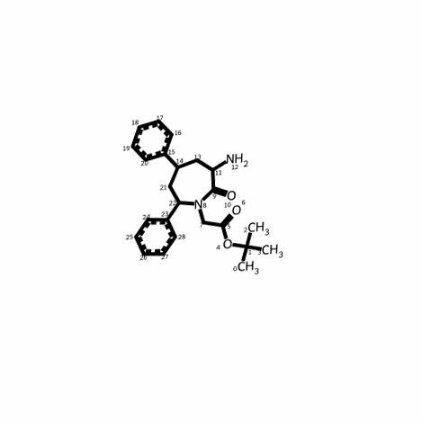 CC(C)(C)OC(=O)CN1C(=O)C(N)CC(c2ccccc2)CC1c1ccccc1